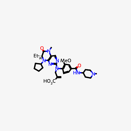 C=C(CN(c1ncc2c(n1)N(C1CCCC1)[C@H](CC)C(=O)N2C)c1ccc(C(=O)NC2CCN(C)CC2)cc1OC)C(=O)O